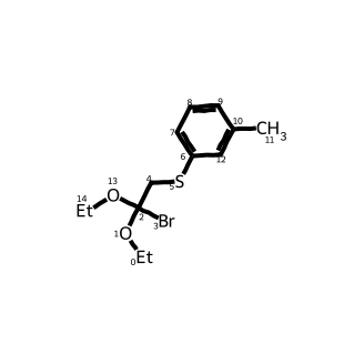 CCOC(Br)(CSc1cccc(C)c1)OCC